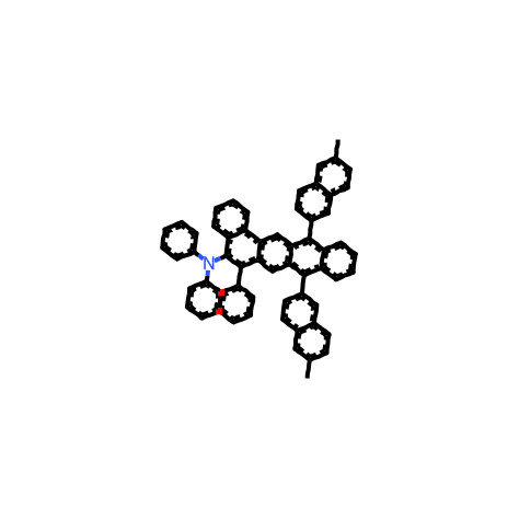 Cc1ccc2cc(-c3c4ccccc4c(-c4ccc5cc(C)ccc5c4)c4cc5c(cc34)c(-c3ccccc3)c(N(c3ccccc3)c3ccccc3)c3ccccc35)ccc2c1